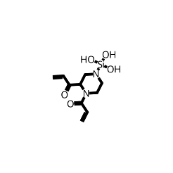 C=CC(=O)C1CN([Si](O)(O)O)CCN1C(=O)C=C